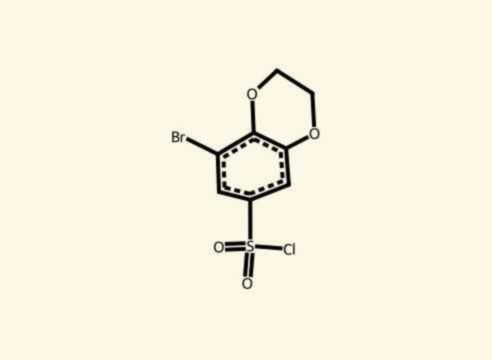 O=S(=O)(Cl)c1cc(Br)c2c(c1)OCCO2